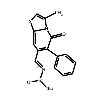 Cc1csc2cc(/C=N/[S+]([O-])C(C)(C)C)c(-c3ccccc3)c(=O)n12